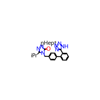 CCCCCCCn1nc(C(C)C)n(Cc2ccc(-c3ccccc3-c3nnn[nH]3)cc2)c1=O